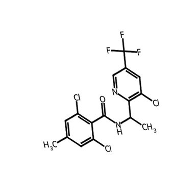 Cc1cc(Cl)c(C(=O)NC(C)c2ncc(C(F)(F)F)cc2Cl)c(Cl)c1